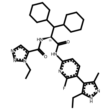 CCc1[nH]nc(C)c1-c1ccc(NC(=O)[C@@H](NC(=O)c2cnnn2CC)C(C2CCCCC2)C2CCCCC2)nc1F